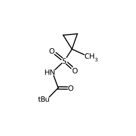 CC(C)(C)C(=O)NS(=O)(=O)C1(C)CC1